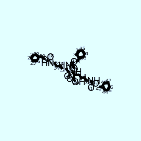 O=C(NCCCCC(NC(=O)[C@H](CCCCNC(=O)OCc1ccccc1)NC(=O)OCc1ccccc1)C(=O)O)OCc1ccccc1